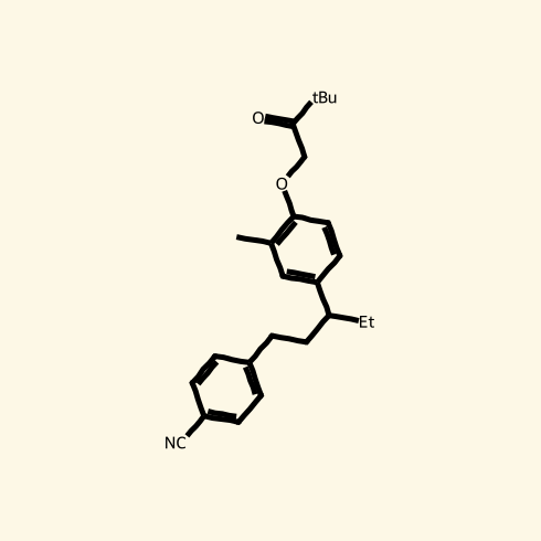 CCC(CCc1ccc(C#N)cc1)c1ccc(OCC(=O)C(C)(C)C)c(C)c1